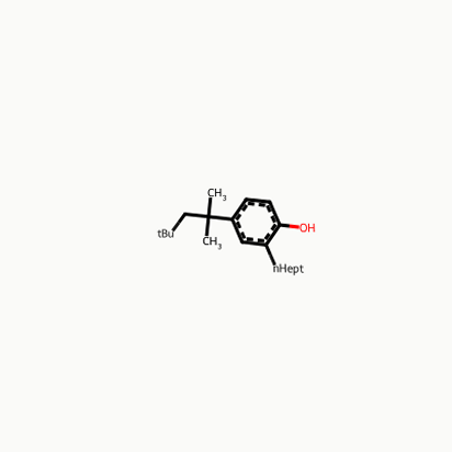 CCCCCCCc1cc(C(C)(C)CC(C)(C)C)ccc1O